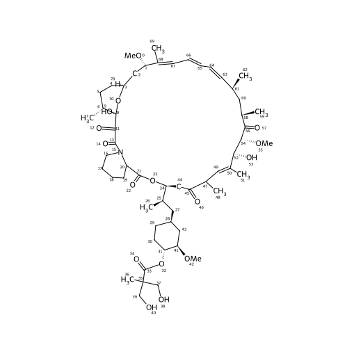 CO[C@H]1C[C@@H]2CC[C@@H](C)[C@@](O)(O2)C(=O)C(=O)N2CCCCC2C(=O)O[C@H]([C@H](C)C[C@@H]2CC[C@@H](OC(=O)C(C)(CO)CO)[C@H](OC)C2)CC(=O)C(C)/C=C(\C)[C@@H](O)[C@@H](OC)C(=O)[C@H](C)C[C@H](C)/C=C/C=C/C=C/1C